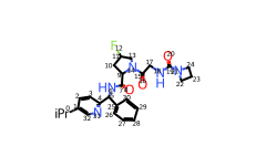 CC(C)c1ccc(C(NC(=O)C2CC(F)CN2C(=O)CNC(=O)N2CCC2)c2ccccc2)nc1